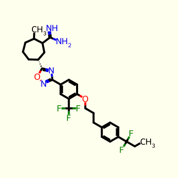 CCC(F)(F)c1ccc(CCCOc2ccc(-c3noc([C@@H]4CCCC(C)C(C(=N)N)C4)n3)cc2C(F)(F)F)cc1